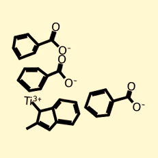 CC1=Cc2ccccc2[CH]1[Ti+3].O=C([O-])c1ccccc1.O=C([O-])c1ccccc1.O=C([O-])c1ccccc1